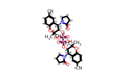 CC1(C)Oc2ccc(C#N)cc2[C@@H](N2CCCC2=O)[C@@H]1OP(=O)(O)P(=O)(O)O[C@H]1[C@H](N2CCCC2=O)c2cc(C#N)ccc2OC1(C)C